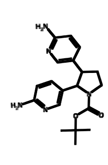 CC(C)(C)OC(=O)N1CCC(c2ccc(N)nc2)C1c1ccc(N)nc1